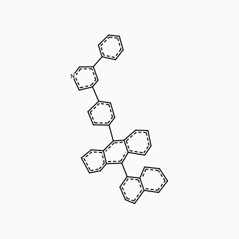 c1ccc(-c2cncc(-c3ccc(-c4c5ccccc5c(-c5cccc6ccccc56)c5ccccc45)cc3)c2)cc1